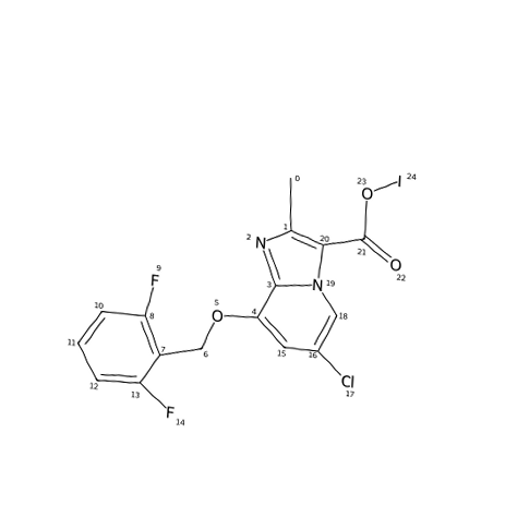 Cc1nc2c(OCc3c(F)cccc3F)cc(Cl)cn2c1C(=O)OI